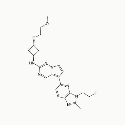 COCCO[C@H]1C[C@@H](Nc2ncc3c(-c4ccc5nc(C)n(CCF)c5n4)ccn3n2)C1